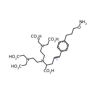 NOCCCc1ccc(/C=C/CC(C(=O)O)N(CCN(CC(=O)O)CC(=O)O)CCN(CC(=O)O)CC(=O)O)cc1